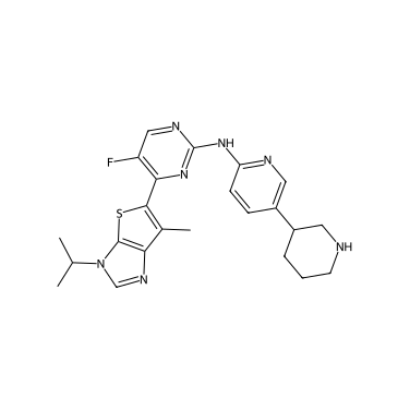 Cc1c(-c2nc(Nc3ccc(C4CCCNC4)cn3)ncc2F)sc2c1ncn2C(C)C